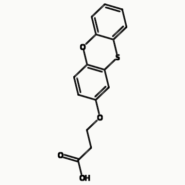 O=C(O)CCOc1ccc2c(c1)Sc1ccccc1O2